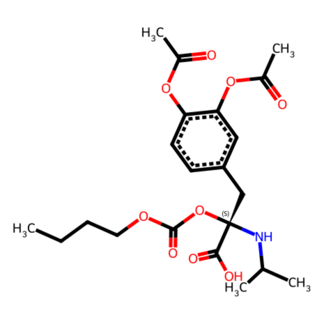 CCCCOC(=O)O[C@](Cc1ccc(OC(C)=O)c(OC(C)=O)c1)(NC(C)C)C(=O)O